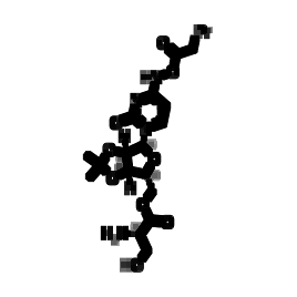 CC(C)CC(=O)ONc1ccn([C@@H]2O[C@H](COC(=O)[C@@H](N)CO)[C@H]3OC(C)(C)O[C@H]32)c(=O)n1